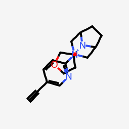 C#Cc1ccc(N2CC3CCC(C2)N3[C@@H]2CCOC2)nc1